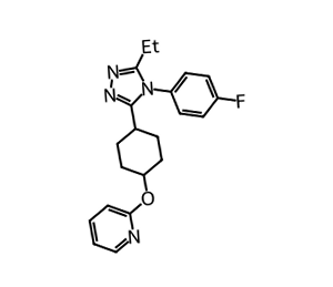 CCc1nnc(C2CCC(Oc3ccccn3)CC2)n1-c1ccc(F)cc1